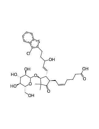 CC1(C)C(=O)[C@H](C/C=C\CCCC(=O)O)[C@@H](/C=C/C(O)CCc2sc3ccccc3c2Cl)[C@@H]1OC1O[C@H](CO)[C@@H](O)[C@H](O)[C@H]1O